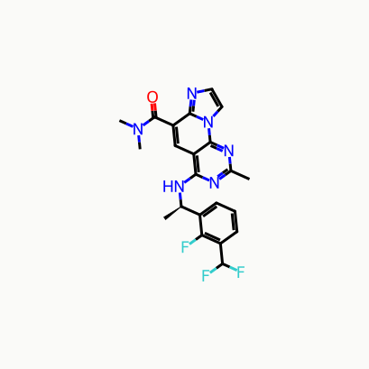 Cc1nc(N[C@H](C)c2cccc(C(F)F)c2F)c2cc(C(=O)N(C)C)c3nccn3c2n1